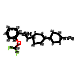 CCCCCC1CCC(C2CCC(C[SiH2]c3ccccc3OC(F)F)CC2)CC1